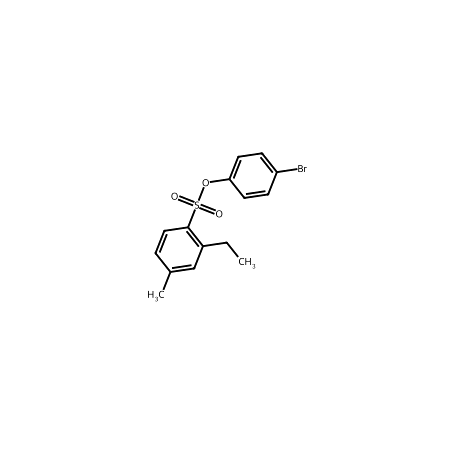 CCc1cc(C)ccc1S(=O)(=O)Oc1ccc(Br)cc1